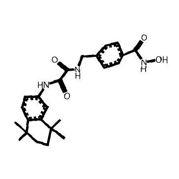 CC1(C)CCC(C)(C)c2cc(NC(=O)C(=O)NCc3ccc(C(=O)NO)cc3)ccc21